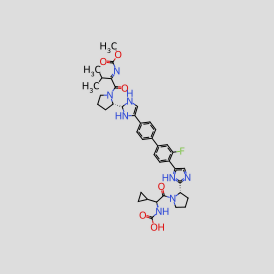 COC(=O)/N=C(/C(=O)N1CCC[C@H]1C1NC=C(c2ccc(-c3ccc(-c4cnc([C@@H]5CCCN5C(=O)[C@@H](NC(=O)O)C5CC5)[nH]4)c(F)c3)cc2)N1)C(C)C